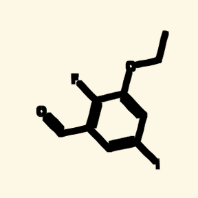 CCOc1cc(I)cc(C=O)c1F